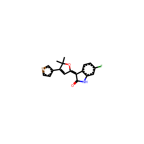 CC1(C)O/C(=C2/C(=O)Nc3cc(F)ccc32)C=C1c1ccsc1